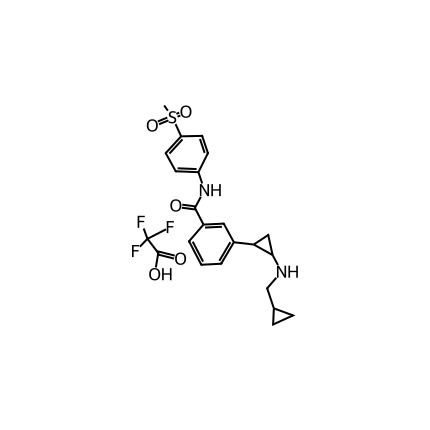 CS(=O)(=O)c1ccc(NC(=O)c2cccc(C3CC3NCC3CC3)c2)cc1.O=C(O)C(F)(F)F